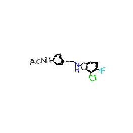 CC(=O)Nc1ccc(CNC2Cc3ccc(F)c(Cl)c3C2)cc1